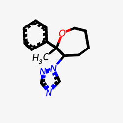 CC1(c2ccccc2)OCCCCC1n1cncn1